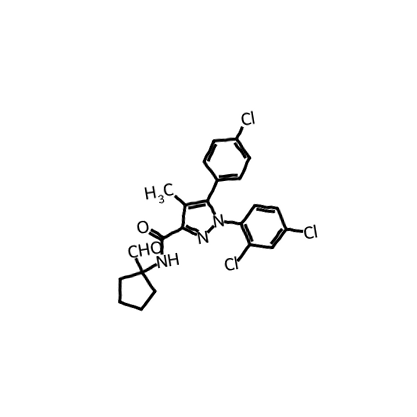 Cc1c(C(=O)NC2(C=O)CCCC2)nn(-c2ccc(Cl)cc2Cl)c1-c1ccc(Cl)cc1